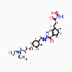 CN(C)CCCOc1ccc(/C=N/NC(=O)c2cccc(/C=C/C(=O)NO)c2)cc1